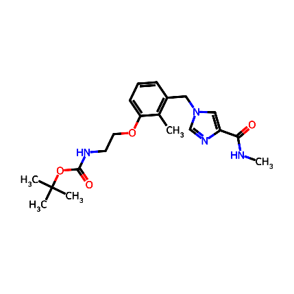 CNC(=O)c1cn(Cc2cccc(OCCNC(=O)OC(C)(C)C)c2C)cn1